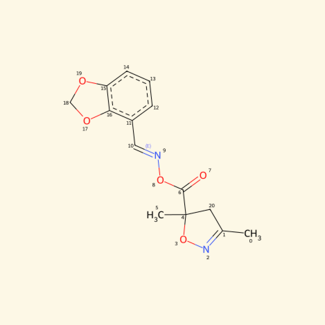 CC1=NOC(C)(C(=O)O/N=C/c2cccc3c2OCO3)C1